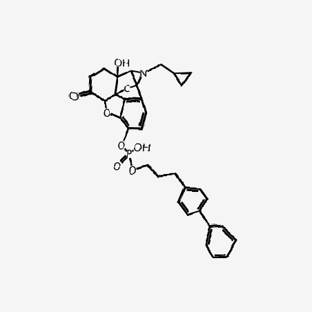 O=C1CCC2(O)C3N(CC4CC4)C34CC23c2c4ccc(OP(=O)(O)OCCCc4ccc(-c5ccccc5)cc4)c2OC13